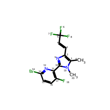 Cc1c(/C=C/C(F)(F)F)nc(-c2nc(Br)ccc2F)n1C